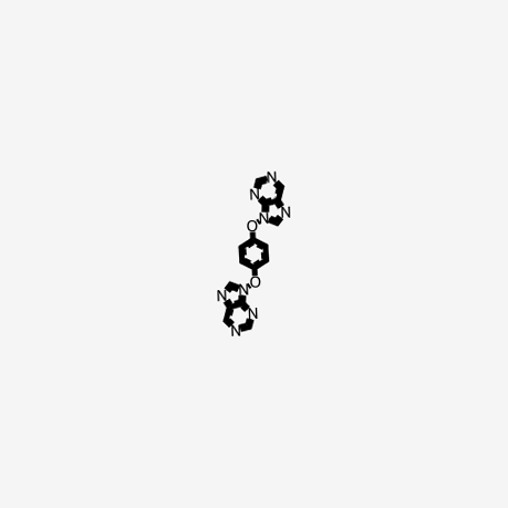 c1ncc2ncn(Oc3ccc(On4cnc5cncnc54)cc3)c2n1